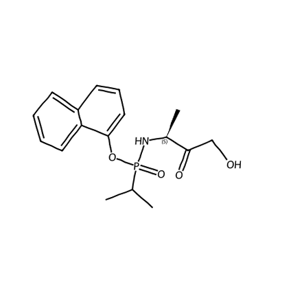 CC(C)P(=O)(N[C@@H](C)C(=O)CO)Oc1cccc2ccccc12